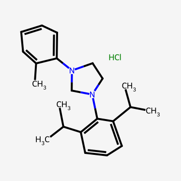 Cc1ccccc1N1CCN(c2c(C(C)C)cccc2C(C)C)C1.Cl